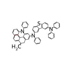 C=C1Cc2cc(N(c3ccccc3)c3ccc4sc5ccc(N(c6ccccc6)c6ccccc6)cc5c4c3)cc(N(c3ccccc3)c3ccccc3)c2-c2ccccc21